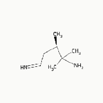 C[C@H](CC=N)C(C)(C)N